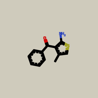 Cc1csc(N)c1C(=O)c1ccccc1